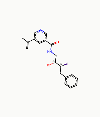 C=C(C)c1cncc(C(=O)NC[C@@H](O)[C@@H](I)Cc2ccccc2)c1